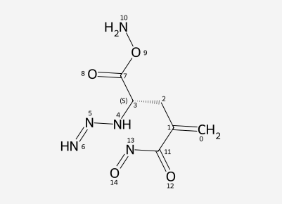 C=C(C[C@H](NN=N)C(=O)ON)C(=O)N=O